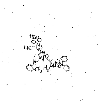 CN1C[C@H](O[Si](c2ccccc2)(c2ccccc2)C(C)(C)C)C[C@H]1COc1nc2c(c(N3CCN(C(=O)OC(C)(C)C)C(CC#N)C3)n1)CCN(c1ccccc1C(F)(F)F)C2